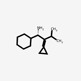 CC(C)C(=C1CC1)[C@@H](N)C1CCCCC1